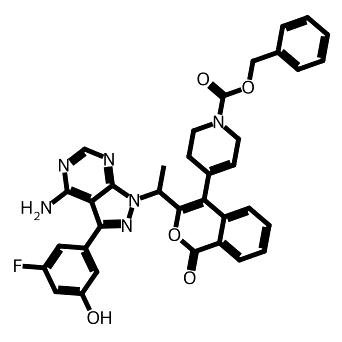 CC(c1oc(=O)c2ccccc2c1C1=CCN(C(=O)OCc2ccccc2)CC1)n1nc(-c2cc(O)cc(F)c2)c2c(N)ncnc21